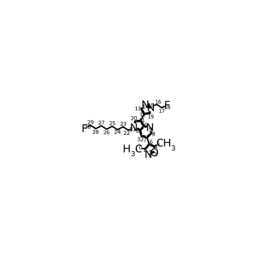 Cc1noc(C)c1-c1cnc2c(-c3cnn(CCF)c3)cn(CCCCCCCCF)c2c1